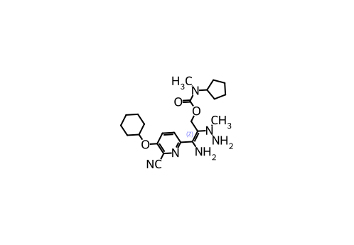 CN(N)/C(COC(=O)N(C)C1CCCC1)=C(\N)c1ccc(OC2CCCCC2)c(C#N)n1